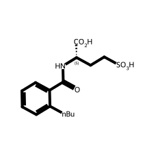 CCCCc1ccccc1C(=O)N[C@@H](CCS(=O)(=O)O)C(=O)O